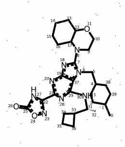 CC1CCC(Cn2c(N3CCOC4CCCCC43)nc3nc(-c4noc(=O)[nH]4)nc(N[C@H](C)C4CCC4)c32)CC1